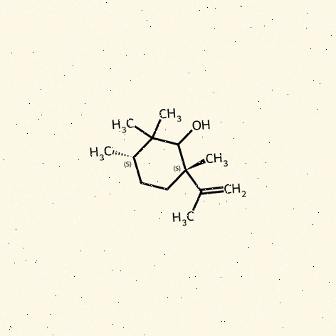 C=C(C)[C@]1(C)CC[C@H](C)C(C)(C)C1O